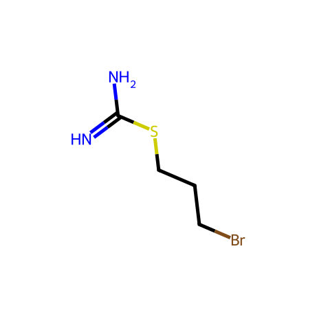 N=C(N)SCCCBr